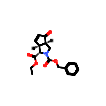 CCOC(=O)[C@@H]1[C@H]2C=CC(=O)[C@H]2CN1C(=O)OCc1ccccc1